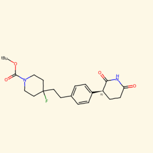 CC(C)(C)OC(=O)N1CCC(F)(CCc2ccc([C@@H]3CCC(=O)NC3=O)cc2)CC1